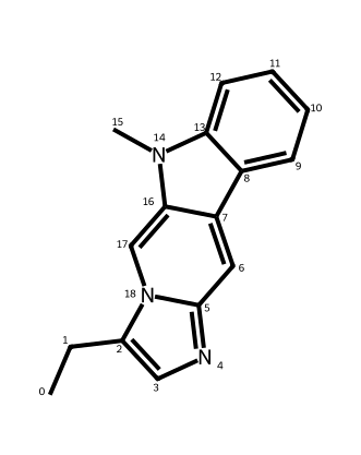 CCc1cnc2cc3c4ccccc4n(C)c3cn12